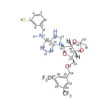 CN(Cc1cccc(F)c1)c1ncnc2c1NCN2[C@@H]1O[C@H](COCc2cc(C(F)(F)F)cc(C(F)(F)F)c2)[C@H]2OC(C)(C)O[C@H]21